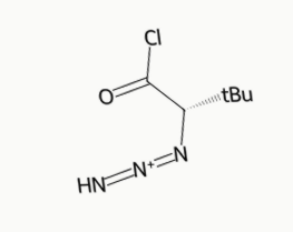 CC(C)(C)[C@H](N=[N+]=N)C(=O)Cl